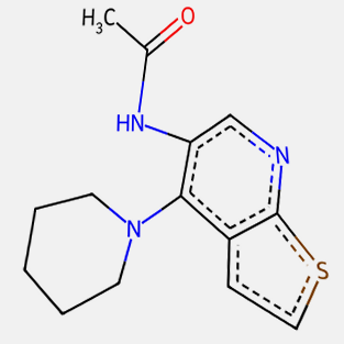 CC(=O)Nc1cnc2sccc2c1N1CCCCC1